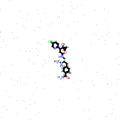 CN(C)[C@H](CNC(=O)CC(c1ccc(Cl)cn1)C1(C(F)(F)F)CC1)Cc1ccc(C(N)=O)c(F)c1